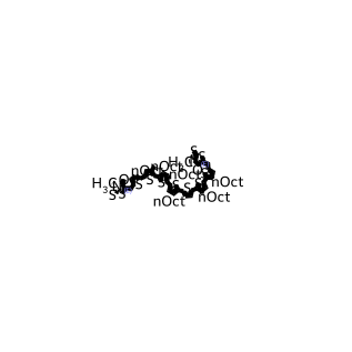 CCCCCCCCc1cc(/C=C2/SC(=S)N(C)C2=O)sc1-c1cc(CCCCCCCC)c(-c2cc(CCCCCCCC)c(-c3ccc(-c4sc(-c5sc(-c6sc(/C=C7/SC(=S)N(C)C7=O)cc6CCCCCCCC)cc5CCCCCCCC)cc4CCCCCCCC)s3)s2)s1